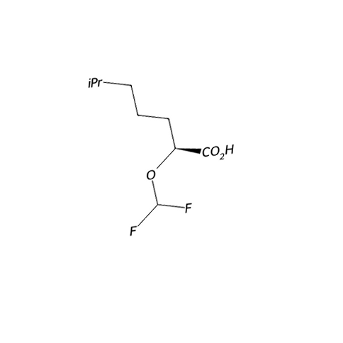 CC(C)CCC[C@H](OC(F)F)C(=O)O